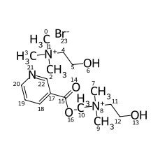 C[N+](C)(C)CCO.C[N+](C)(C)CCO.O=C([O-])c1cccnc1.[Br-]